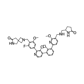 COc1cc(-c2nccc(-c3cccc(-c4ccc(CNCC5CCC(=O)N5)c(OC)n4)c3Cl)c2Cl)cc(F)c1CN1CC2(CNC(=O)C2)C1